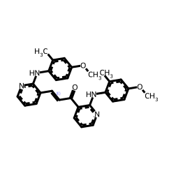 COc1ccc(Nc2ncccc2/C=C/C(=O)c2cccnc2Nc2ccc(OC)cc2C)c(C)c1